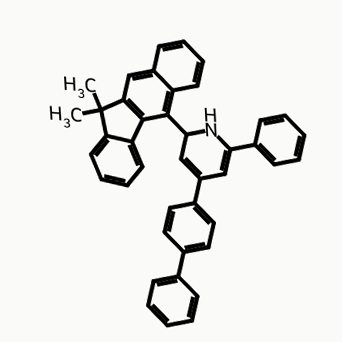 CC1(C)c2ccccc2-c2c1cc1ccccc1c2C1C=C(c2ccc(-c3ccccc3)cc2)C=C(c2ccccc2)N1